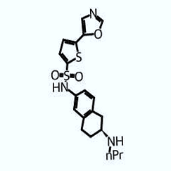 CCCN[C@H]1CCc2cc(NS(=O)(=O)c3ccc(-c4cnco4)s3)ccc2C1